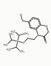 CC(C)[Si](OCCN1C(=O)COc2ccc(CCl)cc21)(C(C)C)C(C)C